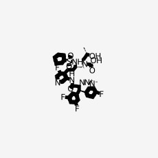 C[C@H](O)CN(C[C@H](CCc1c(F)cncc1NC(=O)[C@@H](N=[N+]=[N-])[C@@H](c1ccc(F)cc1)c1cc(F)cc(F)c1)NS(=O)(=O)c1ccccc1)C(=O)O